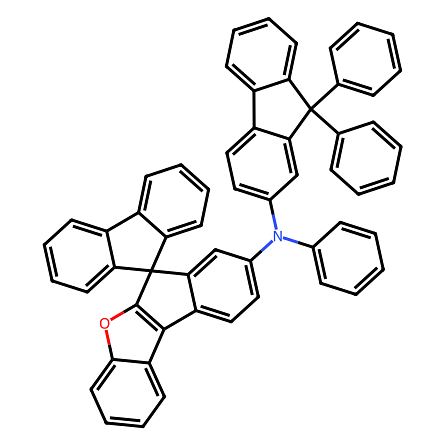 c1ccc(N(c2ccc3c(c2)C(c2ccccc2)(c2ccccc2)c2ccccc2-3)c2ccc3c(c2)C2(c4ccccc4-c4ccccc42)c2oc4ccccc4c2-3)cc1